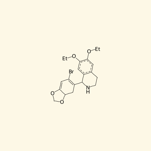 CCOc1cc2c(cc1OCC)C(C1=C(Br)C=C3OCOC3C1)NCC2